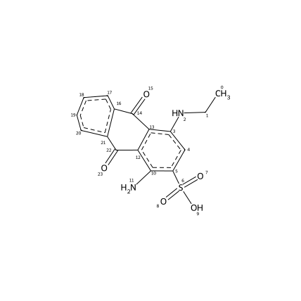 CCNc1cc(S(=O)(=O)O)c(N)c2c1C(=O)c1ccccc1C2=O